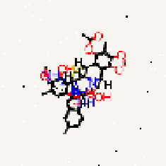 COc1c(C)cc2c(c1O)[C@H]1[C@@H]3[C@@H]4SC[C@]5(N[C@@H](CN)Cc6c5[nH]c5ccc(C)cc65)C(=O)OC[C@@H](c5c6c(c(C)c(OC(C)=O)c54)OCO6)N3[C@@H](O)[C@H](C2)N1C